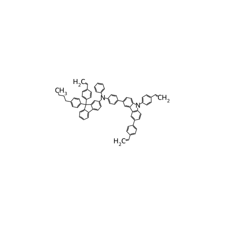 C=Cc1ccc(-c2ccc3c(c2)c2cc(-c4ccc(N(c5ccccc5)c5ccc6c(c5)C(c5ccc(C=C)cc5)(c5ccc(CCCC)cc5)c5ccccc5-6)cc4)ccc2n3-c2ccc(C=C)cc2)cc1